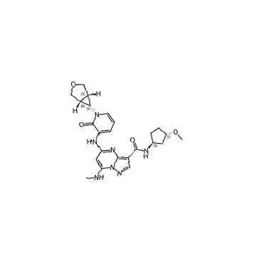 CNc1cc(Nc2cccn([C@@H]3[C@@H]4COC[C@@H]43)c2=O)nc2c(C(=O)N[C@H]3CC[C@H](OC)C3)cnn12